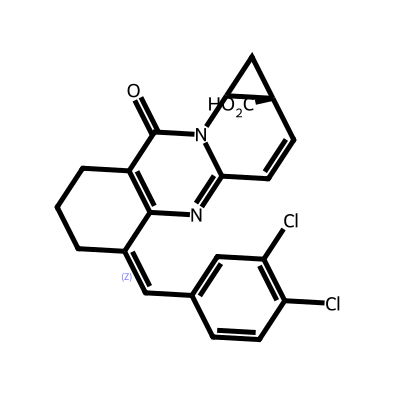 O=C(O)C12C=Cc3nc4c(c(=O)n3C1C2)CCC/C4=C/c1ccc(Cl)c(Cl)c1